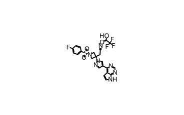 N#CCC1(n2cc(-c3ncnc4[nH]ccc34)cn2)CN(S(=O)(=O)c2ccc(F)cc2)C1.O=C(O)C(F)(F)F